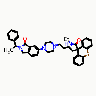 CCNC(=O)C1(CCCCN2CCN(c3ccc4c(c3)C(=O)N(C(C)c3ccccc3)C4)CC2)c2ccccc2Sc2ccccc21